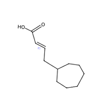 O=C(O)/C=C/CC1CCCCCC1